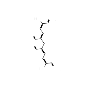 C=C/C(=C\C=C(\O)C=C)C/C(C=C)=C/C=C(/O)C=C